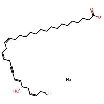 CC/C=C\C[C@H](O)/C=C/C#CC/C=C\C/C=C\CCCCCCCCCCCCCCCC(=O)[O-].[Na+]